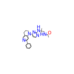 CC(=O)NCC(C)(C)Nc1nccc(N2CCCc3cnc(-c4ccccc4)cc32)n1